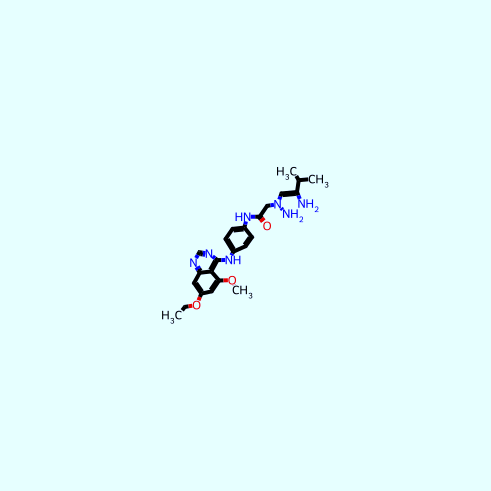 CCOc1cc(OC)c2c(Nc3ccc(NC(=O)CN(N)/C=C(\N)C(C)C)cc3)ncnc2c1